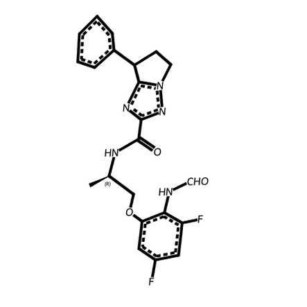 C[C@H](COc1cc(F)cc(F)c1NC=O)NC(=O)c1nc2n(n1)CCC2c1ccccc1